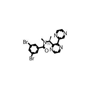 C[C@@H](c1nccnc1-c1cnccn1)N(C)C(=O)c1cc(Br)cc(Br)c1